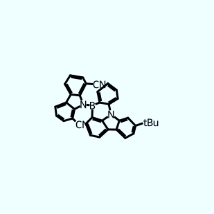 CC(C)(C)c1ccc2c3cccc4c3n(c2c1)-c1ccccc1B4n1c2c(C#N)cccc2c2cccc(C#N)c21